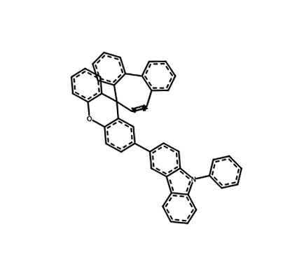 c1ccc(-n2c3ccccc3c3cc(-c4ccc5c(c4)C4(c6ccccc6O5)c5ccccc5-c5ccccc5-c5ccccc54)ccc32)cc1